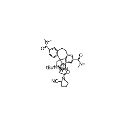 CN(C)C(=O)c1ccc2c(c1)CCc1cc(C(=O)N(C)C)ccc1C2(C[C@@H](NCC(=O)N1CCCC1C#N)C(C)(C)C)c1nnn[nH]1